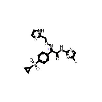 O=C(Nc1ncc(F)s1)/C(=N/OCc1ncc[nH]1)c1ccc(S(=O)(=O)C2CC2)cc1